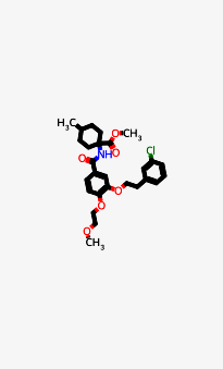 COCCOc1ccc(C(=O)NC2(C(=O)OC)CCC(C)CC2)cc1OCCc1cccc(Cl)c1